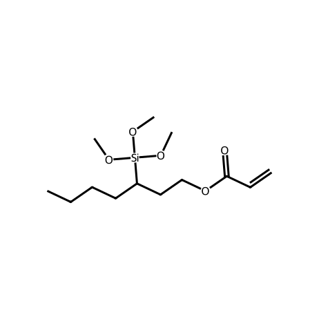 C=CC(=O)OCCC(CCCC)[Si](OC)(OC)OC